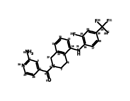 Nc1cc(C(=O)N2CCc3c(cccc3Nc3ccc(C(F)(F)F)cc3F)C2)ccn1